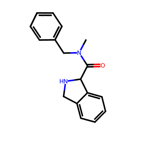 CN(Cc1ccccc1)C(=O)C1NCc2ccccc21